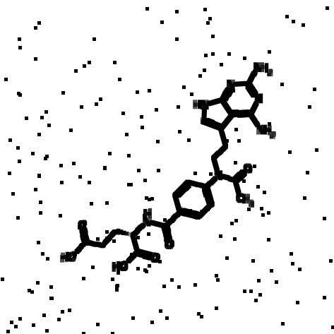 CC(=O)N(CCc1c[nH]c2nc(N)nc(N)c12)c1ccc(C(=O)N[C@@H](CCC(=O)O)C(=O)O)cc1